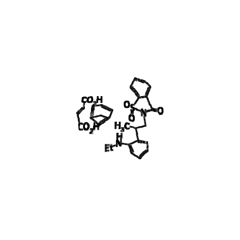 CCNc1ccccc1C(C)CN1C(=O)c2ccccc2S1(=O)=O.O=C(O)C=CC(=O)O.c1cc2cc(c1)C2